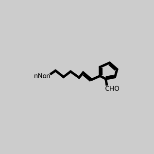 CCCCCCCCCCCCCC=Cc1ccccc1C=O